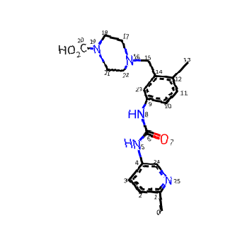 Cc1ccc(NC(=O)Nc2ccc(C)c(CN3CCN(C(=O)O)CC3)c2)cn1